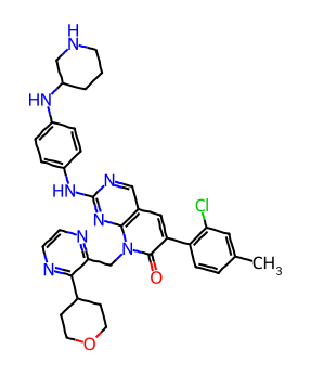 Cc1ccc(-c2cc3cnc(Nc4ccc(NC5CCCNC5)cc4)nc3n(Cc3nccnc3C3CCOCC3)c2=O)c(Cl)c1